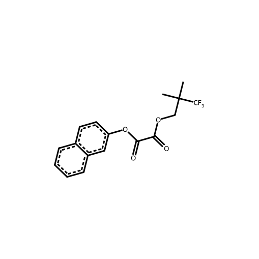 CC(C)(COC(=O)C(=O)Oc1ccc2ccccc2c1)C(F)(F)F